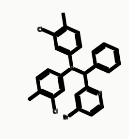 Cc1ccc(B(c2ccc(C)c(Cl)c2)C(c2ccccc2)c2cc(Br)ccn2)cc1Cl